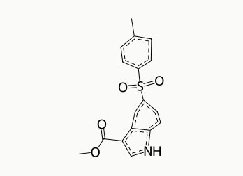 COC(=O)c1c[nH]c2ccc(S(=O)(=O)c3ccc(C)cc3)cc12